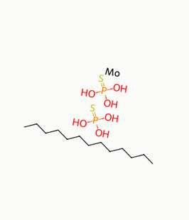 CCCCCCCCCCCCC.OP(O)(O)=S.OP(O)(O)=S.[Mo]